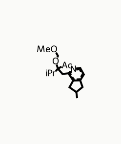 COCOC(Cc1nccc2c1CC(C)C2)(C(C)=O)C(C)C